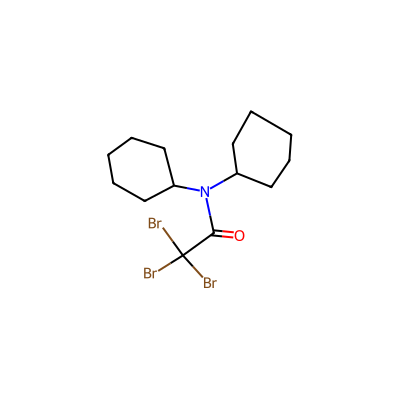 O=C(N(C1CCCCC1)C1CCCCC1)C(Br)(Br)Br